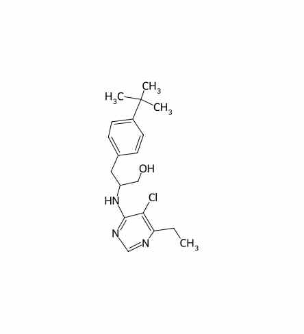 CCc1ncnc(NC(CO)Cc2ccc(C(C)(C)C)cc2)c1Cl